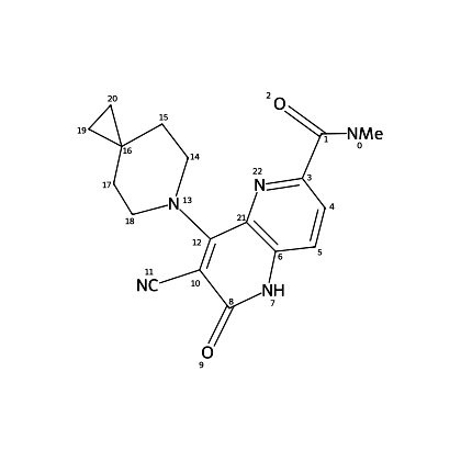 CNC(=O)c1ccc2[nH]c(=O)c(C#N)c(N3CCC4(CC3)CC4)c2n1